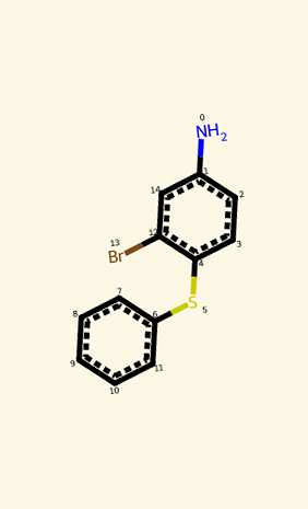 Nc1ccc(Sc2ccccc2)c(Br)c1